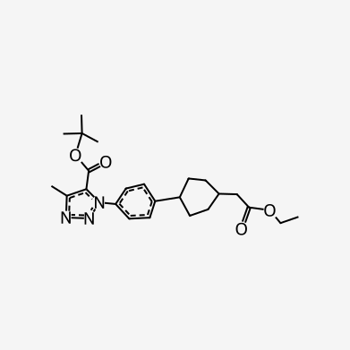 CCOC(=O)CC1CCC(c2ccc(-n3nnc(C)c3C(=O)OC(C)(C)C)cc2)CC1